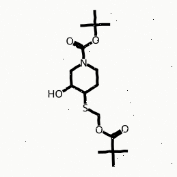 CC(C)(C)OC(=O)N1CCC(SCOC(=O)C(C)(C)C)C(O)C1